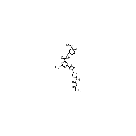 CNCC(=O)NC1CCC(C2CC(c3cc(C(=O)NCc4ccc(F)c(OC)c4)nc(C)n3)=NO2)CC1